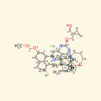 COCOc1cc(-c2nc3c4c(nc(OCC5(C=O)CC5)nc4c2F)N2CCCOC[C@@H]2CC3)c2c(C#C[Si](C(C)C)(C(C)C)C(C)C)c(F)ccc2c1